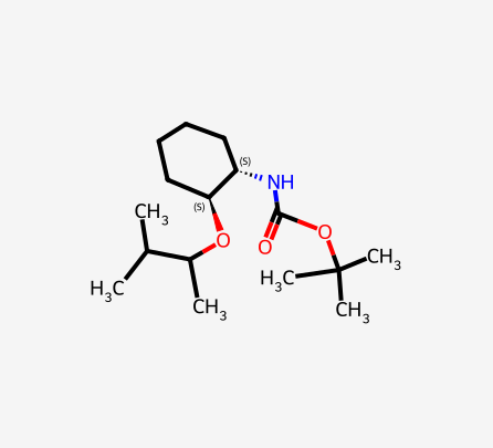 CC(C)C(C)O[C@H]1CCCC[C@@H]1NC(=O)OC(C)(C)C